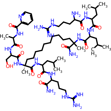 CC(C)CC(NC(=O)C(N)CCCNC(=N)N)C(=O)NC(CC(C)C)C(=O)NC(C)(CCCCCCCCCC[C@](C)(NC(=O)C(CO)NC(=O)C(C)NC(=O)c1ccccn1)C(=O)NC(CC(C)C)C(=O)NC(CCCNC(=N)N)C(N)=O)C(N)=O